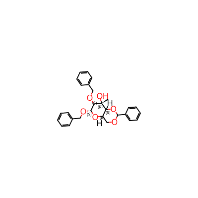 C[C@]1(O)[C@H](OCc2ccccc2)[C@@H](OCc2ccccc2)O[C@@H]2COC(c3ccccc3)O[C@H]21